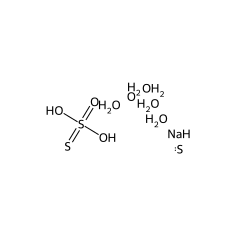 O.O.O.O.O.O=S(O)(O)=S.[NaH].[S]